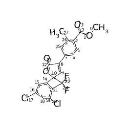 COC(=O)c1ccc(C2=CC3(OC2=O)c2cc(Cl)cc(Cl)c2C3(F)F)cc1C